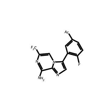 CC(=O)c1ccc(F)c(-c2cnc3c(N)nc(C(F)(F)F)cn23)c1